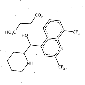 O=C(O)CCC(=O)O.OC(c1cc(C(F)(F)F)nc2c(C(F)(F)F)cccc12)C1CCCCN1